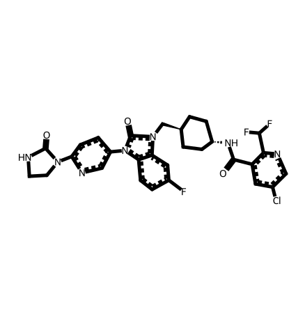 O=C(N[C@H]1CC[C@H](Cn2c(=O)n(-c3ccc(N4CCNC4=O)nc3)c3ccc(F)cc32)CC1)c1cc(Cl)cnc1C(F)F